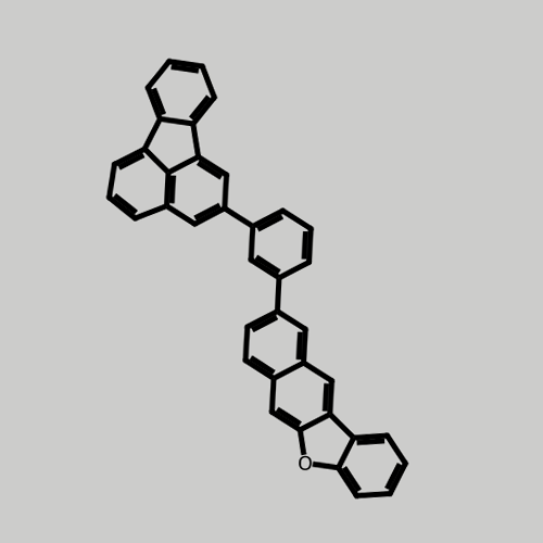 c1cc(-c2ccc3cc4oc5ccccc5c4cc3c2)cc(-c2cc3c4c(cccc4c2)-c2ccccc2-3)c1